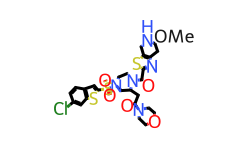 COC1Cc2nc(C(=O)N3CCN(S(=O)(=O)c4cc5ccc(Cl)cc5s4)CC3CC(=O)N3CCOCC3)sc2CN1